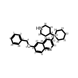 c1ccc(COc2ccc3ncc([N+]4(C5CCNCC5)CCCCC4)cc3c2)cc1